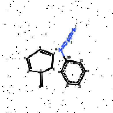 C=C1C=CC=CC1.[N-]=[N+]=Nc1ccccc1